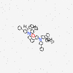 CC1(C)C2=C(C=CCC2)c2ccc(N(c3ccc(-c4ccccc4)cc3)c3ccc4c(c3)-c3cccc5ccc(N(c6ccc(-c7ccccc7)cc6)c6ccc7c(c6)C(C)(C)c6ccccc6-7)c(c35)O4)cc21